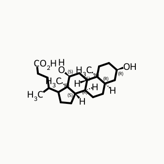 CC(CCC(=O)O)C1CC[C@H]2[C@@H]3CC[C@@H]4C[C@H](O)CC[C@]4(C)[C@H]3C[C@H](O)[C@]12C